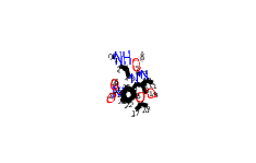 CNCCCN1C(OC)=NC(C)=C(C(=O)OC(C)C)C1c1cccc([N+](=O)[O-])c1